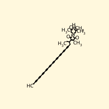 C#CC#CC#CC#CC#CC#CC#CC#CC#CC#CC#CCC(CC)C1=C(C)C(=O)N(N2CC(C)(C)NC(C)(C)C2)C1=O